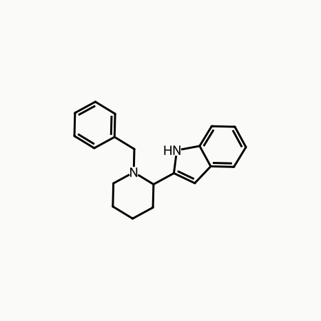 c1ccc(CN2CCCCC2c2cc3ccccc3[nH]2)cc1